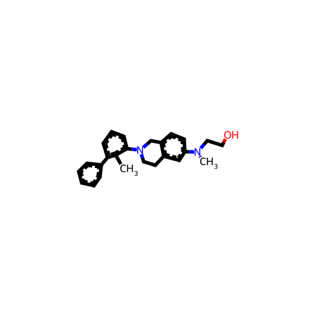 Cc1c(-c2ccccc2)cccc1N1CCc2cc(N(C)CCO)ccc2C1